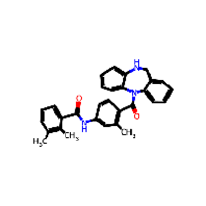 Cc1cc(NC(=O)c2cccc(C)c2C)ccc1C(=O)N1c2ccccc2CNc2ccccc21